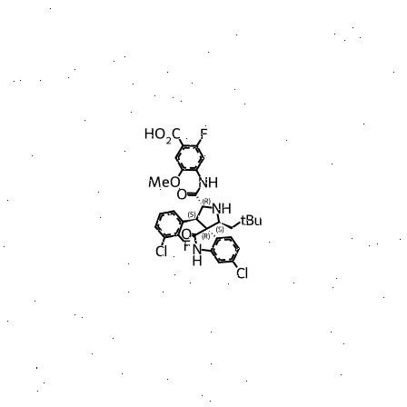 COc1cc(C(=O)O)c(F)cc1NC(=O)[C@@H]1N[C@@H](CC(C)(C)C)[C@@]2(C(=O)Nc3cc(Cl)ccc32)[C@H]1c1cccc(Cl)c1F